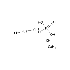 O=P(O)(O)O.[CaH2].[Cl][Ca][Cl].[KH]